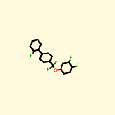 FC1CCC(OC(F)(F)C2CCC(C3CCCCC3F)CC2)CC1F